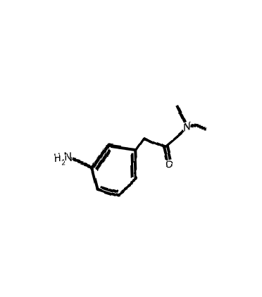 CN(C)C(=O)Cc1cccc(N)c1